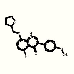 COc1ccc(-c2c[nH]c3c(OCC4CCCO4)ccc(F)c3c2=O)cc1